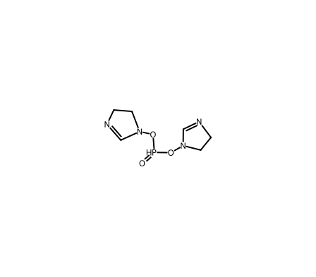 O=[PH](ON1C=NCC1)ON1C=NCC1